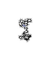 CC1(C)CCC(C)(C)c2c(N(c3ccc(-c4ccc5c(c4)-c4ccccc4C54C5CC6CC7CC4C75C6)cc3)c3ccc4c(c3)C(C)(C)c3ccccc3-4)cccc21